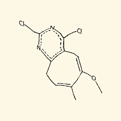 COC1=Cc2c(Cl)nc(Cl)nc2CC=C1C